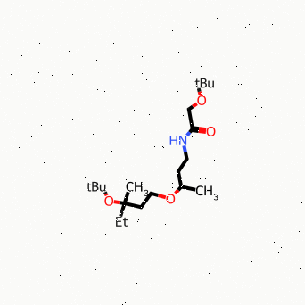 CCC(C)(CCOC(C)CCNC(=O)COC(C)(C)C)OC(C)(C)C